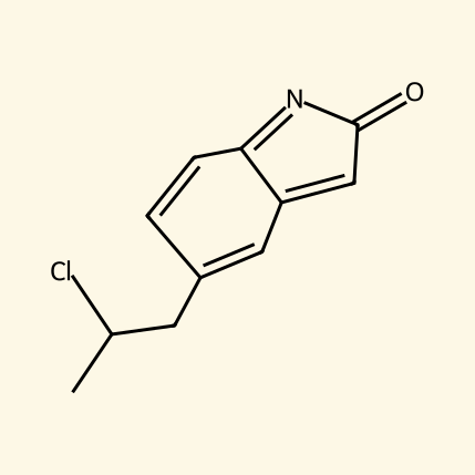 CC(Cl)Cc1ccc2c(c1)=CC(=O)N=2